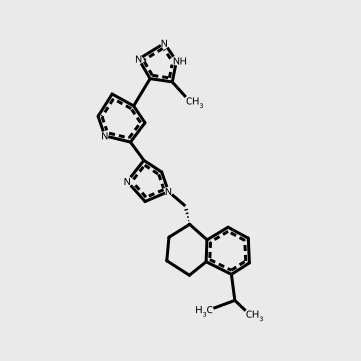 Cc1[nH]nnc1-c1ccnc(-c2cn(C[C@H]3CCCc4c(C(C)C)cccc43)cn2)c1